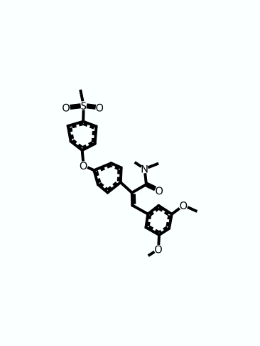 COc1cc(C=C(C(=O)N(C)C)c2ccc(Oc3ccc(S(C)(=O)=O)cc3)cc2)cc(OC)c1